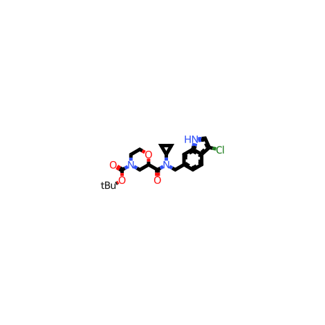 CC(C)(C)OC(=O)N1CCOC(C(=O)N(Cc2ccc3c(Cl)c[nH]c3c2)C2CC2)C1